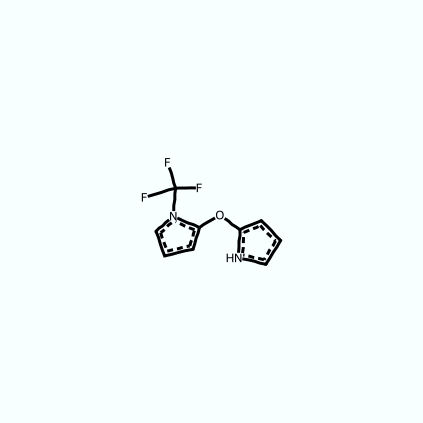 FC(F)(F)n1cccc1Oc1ccc[nH]1